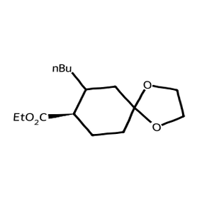 CCCCC1CC2(CC[C@H]1C(=O)OCC)OCCO2